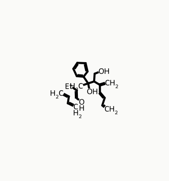 C=CC=C.C=CC=CC(=C)C(CO)C(C)(O)c1ccccc1.CCC=CO